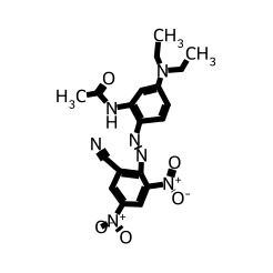 CCN(CC)c1ccc(N=Nc2c(C#N)cc([N+](=O)[O-])cc2[N+](=O)[O-])c(NC(C)=O)c1